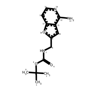 CC(C)(C)OC(=O)NCc1cc2c(N)nccc2o1